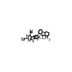 CC1(C)c2ccccc2-c2cccc(-c3ccc4sc5nc(C#N)nc(C#N)c5c4c3)c21